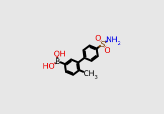 Cc1ccc(B(O)O)cc1-c1ccc(S(N)(=O)=O)cc1